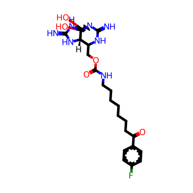 N=C1N[C@H]2C(COC(=O)NCCCCCCCC(=O)c3ccc(F)cc3)NC(=N)N3CCC(O)(O)C23N1